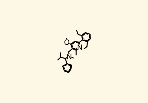 CCc1cccc(CC)c1-c1cc(OC)c(CN(C)C(c2ccccc2)C(C)C)c(C)n1